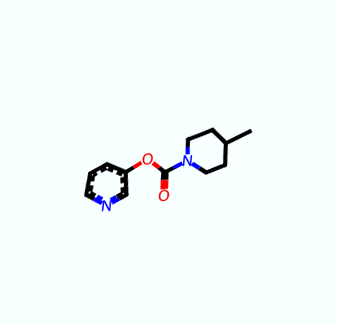 CC1CCN(C(=O)Oc2cccnc2)CC1